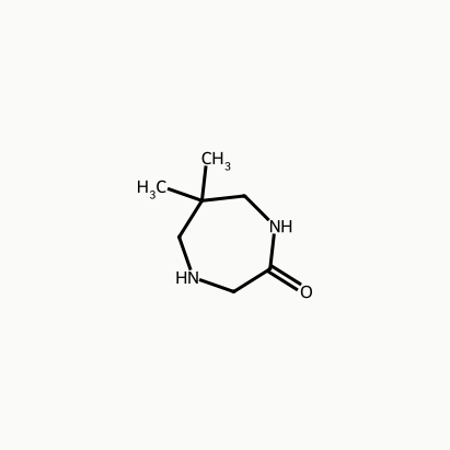 CC1(C)CNCC(=O)NC1